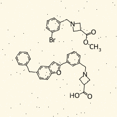 COC(=O)C1CN(Cc2cccc(Br)c2)C1.O=C(O)C1CN(Cc2cccc(-c3cc4cc(Cc5ccccc5)ccc4o3)c2)C1